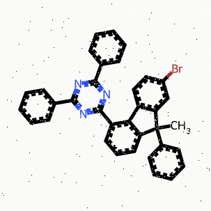 CC1(c2ccccc2)c2cc(Br)ccc2-c2c(-c3nc(-c4ccccc4)nc(-c4ccccc4)n3)cccc21